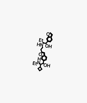 CCNC(C1CCC1)C(O)c1ccc2cc(CCNC(CC)C(O)c3ccc4ccoc4c3)oc2c1